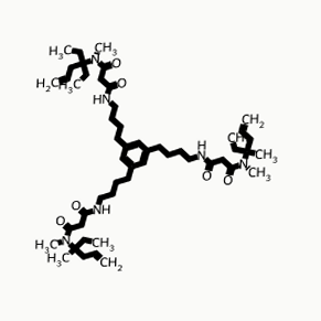 C=CCC(C)(CC)N(C)C(=O)CC(=O)NCCCCc1cc(CCCCNC(=O)CC(=O)N(C)C(C)(CC)CC=C)cc(CCCCNC(=O)CC(=O)N(C)C(CC)(CC)CC=C)c1